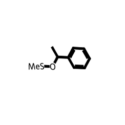 CSOC(C)c1ccccc1